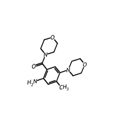 Cc1cc(N)c(C(=O)N2CCOCC2)cc1N1CCOCC1